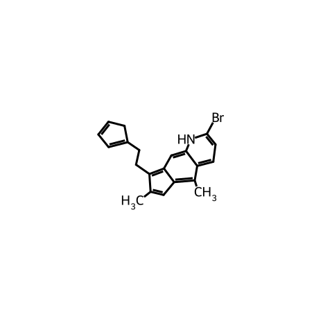 Cc1cc2c(C)c3ccc(Br)[nH]c3cc2c1CCC1=CC=CC1